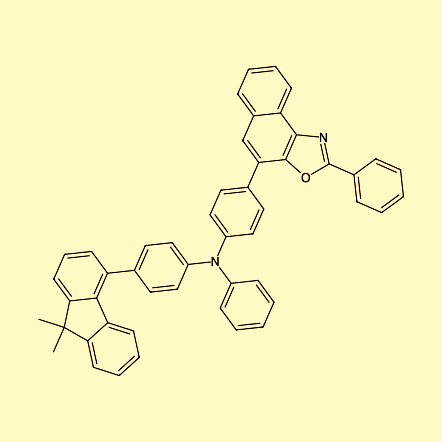 CC1(C)c2ccccc2-c2c(-c3ccc(N(c4ccccc4)c4ccc(-c5cc6ccccc6c6nc(-c7ccccc7)oc56)cc4)cc3)cccc21